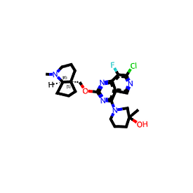 CN1CCC[C@@]2(COc3nc(N4CCCC(C)(O)C4)c4cnc(Cl)c(F)c4n3)CCC[C@@H]12